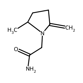 C=C1CCC(C)N1CC(N)=O